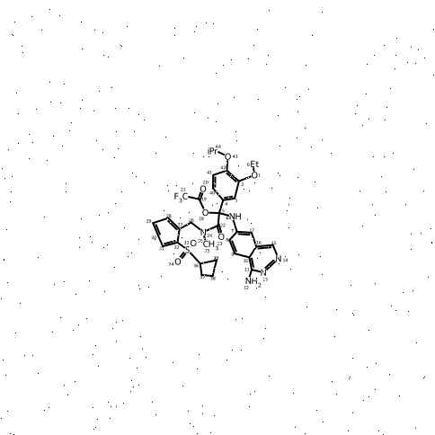 CCOc1cc(C(Nc2ccc3c(N)nncc3c2)(OC(=O)C(F)(F)F)C(=O)N(C)Cc2ccccc2S(=O)(=O)C2CCC2)ccc1OC(C)C